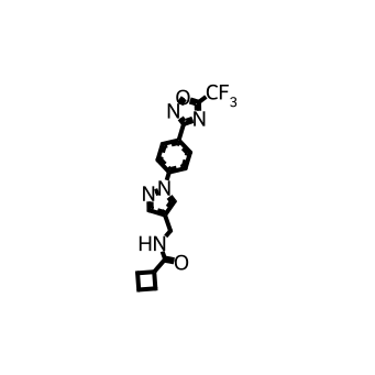 O=C(NCc1cnn(-c2ccc(-c3noc(C(F)(F)F)n3)cc2)c1)C1CCC1